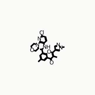 Cc1cc(C(C)Nc2ccc(Cl)nc2N2CCOCC2)c2oc(-c3cnn(C)c3)c(C)c(=O)c2c1